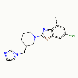 Cc1cc(Cl)cc2sc(N3CCC[C@H](Cn4ccnc4)C3)nc12